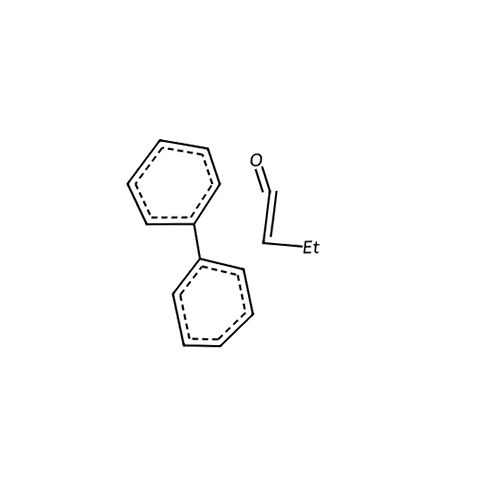 CCC=C=O.c1ccc(-c2ccccc2)cc1